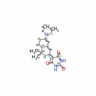 CCN(CC)C1=CC2=CC(=C3C(=O)NC(=O)NC3=O)CC(C)(C)C2CC1